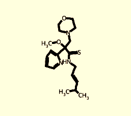 COC(CN1CCOCC1)(C(=S)NCC=CC(C)C)c1ccccn1